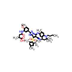 CCCCN1c2cc(C)c(/N=C3\C(C#N)=C(S(=O)(=O)c4c(C)cc(C)cc4C)c4nc(-c5ccc(OC)c(NC(=O)CC(C)C(=O)O)c5)nn43)cc2C(C)CC1(C)C